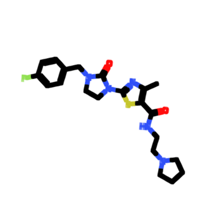 Cc1nc(N2CCN(Cc3ccc(F)cc3)C2=O)sc1C(=O)NCCN1CCCC1